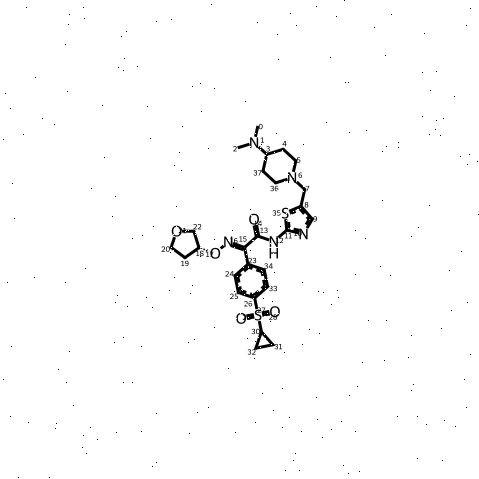 CN(C)C1CCN(Cc2cnc(NC(=O)/C(=N/O[C@@H]3CCOC3)c3ccc(S(=O)(=O)C4CC4)cc3)s2)CC1